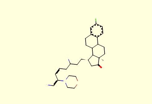 C[C@]12CCC3c4ccc(Cl)cc4CCC3C1[C@H](CCC(N)C/C=C\C(=C/N)N1CCOCC1)CC2=O